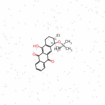 CC[C@H]1CCc2c(cc3c(c2O)C(=O)c2ccccc2C3=O)[C@]1(C#N)O[Si](C)(C)C